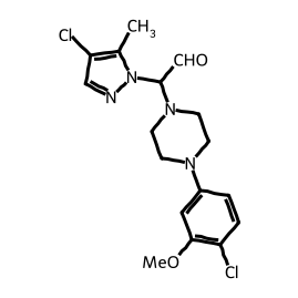 COc1cc(N2CCN(C(C=O)n3ncc(Cl)c3C)CC2)ccc1Cl